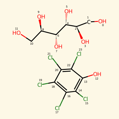 OC[C@@H](O)[C@@H](O)[C@H](O)[C@H](O)CO.Oc1c(Cl)c(Cl)c(Cl)c(Cl)c1Cl